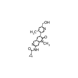 Cc1cc(CO)ncc1-c1cc2cnc(NC(=O)C3CC3)cc2n(C)c1=O